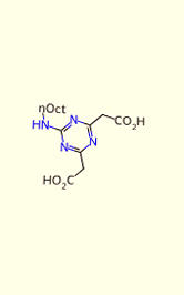 CCCCCCCCNc1nc(CC(=O)O)nc(CC(=O)O)n1